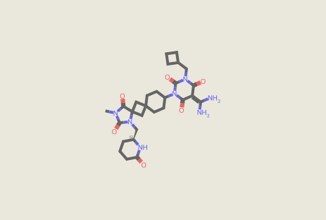 CN1C(=O)N(C[C@@H]2CCCC(=O)N2)C2(CC3(CCC(N4C(=O)C(=C(N)N)C(=O)N(CC5CCC5)C4=O)CC3)C2)C1=O